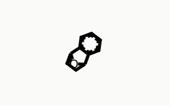 C1=C2OC(C1)c1ccccc12